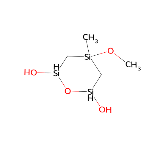 CO[Si]1(C)C[SiH](O)O[SiH](O)C1